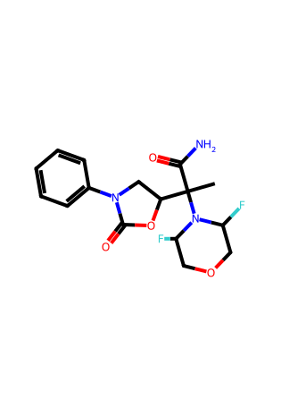 CC(C(N)=O)(C1CN(c2ccccc2)C(=O)O1)N1C(F)COCC1F